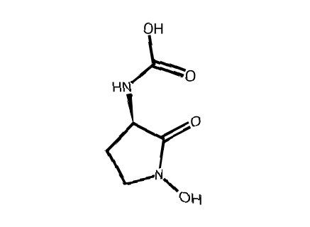 O=C(O)N[C@@H]1CCN(O)C1=O